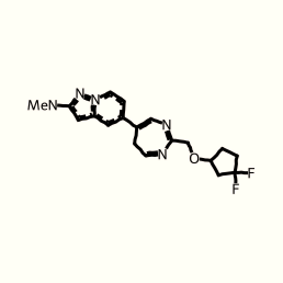 CNc1cc2cc(C3=CN=C(COC4CCC(F)(F)C4)N=CC3)ccn2n1